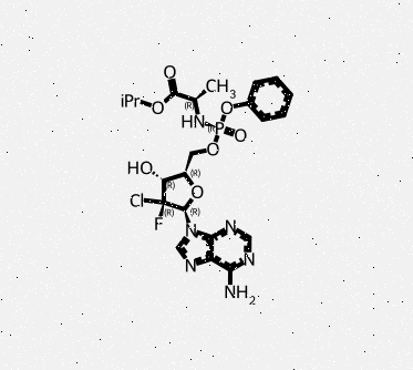 CC(C)OC(=O)[C@@H](C)N[P@@](=O)(OC[C@H]1O[C@@H](n2cnc3c(N)ncnc32)[C@](F)(Cl)[C@@H]1O)Oc1ccccc1